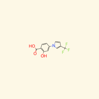 O=C(O)c1ccc(-n2ccc(C(F)(F)F)c2)cc1O